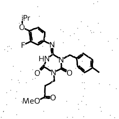 COC(=O)CCn1c(=O)[nH]/c(=N\c2ccc(OC(C)C)c(F)c2)n(Cc2ccc(C)cc2)c1=O